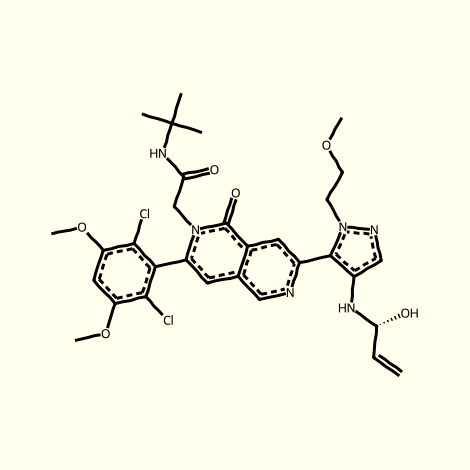 C=C[C@@H](O)Nc1cnn(CCOC)c1-c1cc2c(=O)n(CC(=O)NC(C)(C)C)c(-c3c(Cl)c(OC)cc(OC)c3Cl)cc2cn1